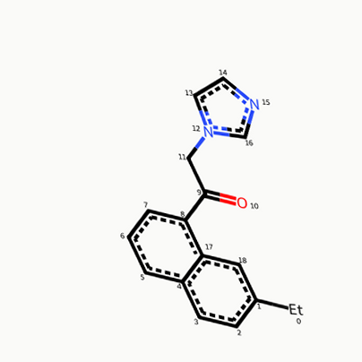 CCc1ccc2cccc(C(=O)Cn3ccnc3)c2c1